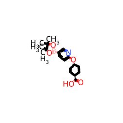 CC1(C)OB(c2ccc(O[C@H]3CC[C@H](C(=O)O)CC3)nc2)OC1(C)C